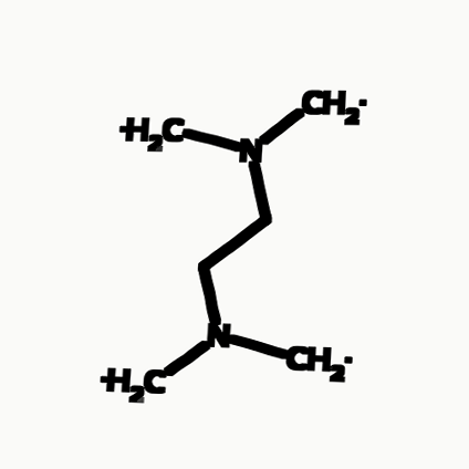 [CH2]N([CH2])CCN([CH2])[CH2]